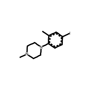 Cc1cc(I)ccc1N1CCN(C)CC1